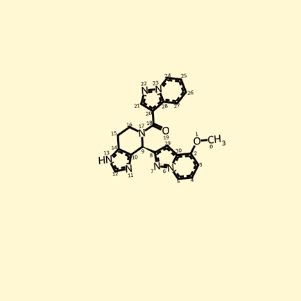 COc1cccn2nc([C@H]3c4nc[nH]c4CCN3C(=O)c3cnn4ccccc34)cc12